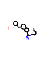 Cc1cccc(-c2n[nH]cc2-c2ccc3c(c2)=CC(CC2=CCCC[C@H]2CO)=CCC=3)n1